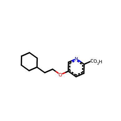 O=C(O)c1ccc(OCCC2CCCCC2)cn1